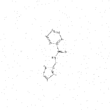 O=C(NCc1nccs1)c1ccccc1